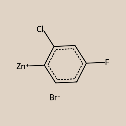 Fc1cc[c]([Zn+])c(Cl)c1.[Br-]